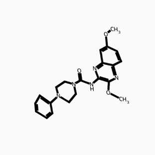 COc1ccc2nc(OC)c(NC(=O)N3CCN(c4ccccc4)CC3)nc2c1